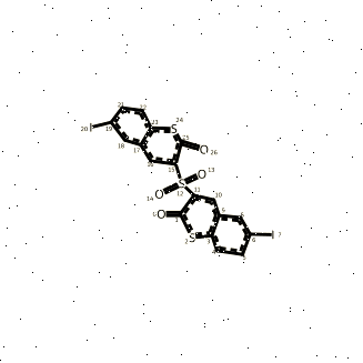 O=c1sc2ccc(I)cc2cc1S(=O)(=O)c1cc2cc(I)ccc2sc1=O